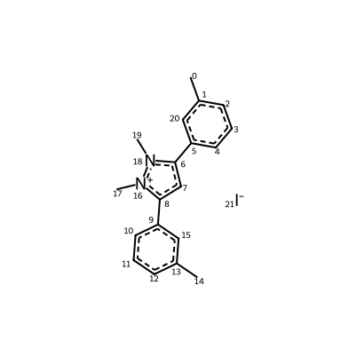 Cc1cccc(-c2cc(-c3cccc(C)c3)[n+](C)n2C)c1.[I-]